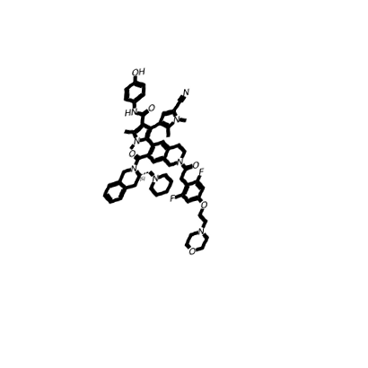 Cc1c(-c2c(C(=O)Nc3ccc(O)cc3)c(C)n(C)c2-c2cc3c(cc2C(=O)N2Cc4ccccc4C[C@H]2CN2CCCCC2)CN(C(=O)Cc2c(F)cc(OCCN4CCOCC4)cc2F)CC3)cc(C#N)n1C